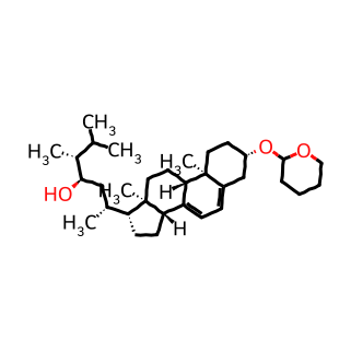 CC(C)[C@@H](C)[C@H](O)C[C@@H](C)[C@H]1CC[C@H]2C3=CC=C4C[C@@H](OC5CCCCO5)CC[C@]4(C)[C@H]3CC[C@]12C